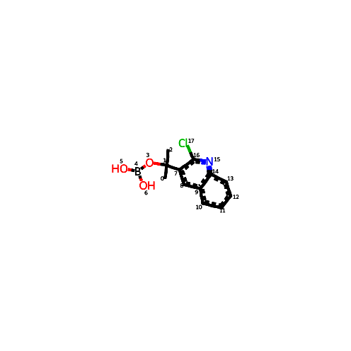 CC(C)(OB(O)O)c1cc2ccccc2nc1Cl